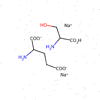 NC(CCC(=O)[O-])C(=O)[O-].NC(CO)C(=O)O.[Na+].[Na+]